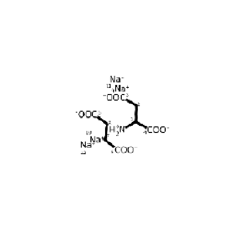 NC(CC(=O)[O-])C(=O)[O-].O=C([O-])CCC(=O)[O-].[Na+].[Na+].[Na+].[Na+]